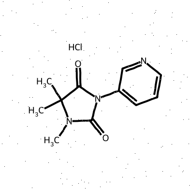 CN1C(=O)N(c2cccnc2)C(=O)C1(C)C.Cl